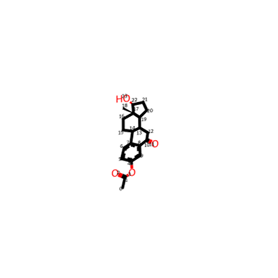 CC(=O)Oc1ccc2c(c1)C(=O)CC1C2CC[C@@]2(C)C1CC[C@@H]2O